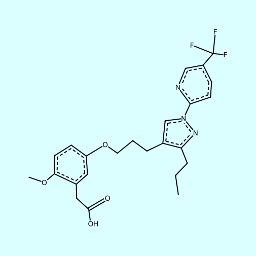 CCCc1nn(-c2ccc(C(F)(F)F)cn2)cc1CCCOc1ccc(OC)c(CC(=O)O)c1